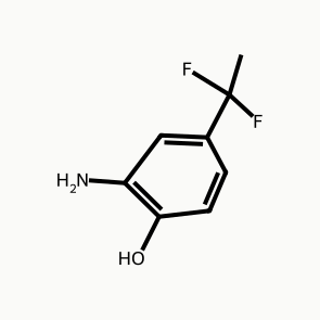 CC(F)(F)c1ccc(O)c(N)c1